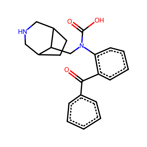 O=C(c1ccccc1)c1ccccc1N(CC1C2CCC1CNC2)C(=O)O